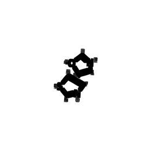 [c]1cnco1.[c]1nccs1